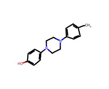 Cc1ccc(N2CCN(c3ccc(O)cc3)CC2)cc1